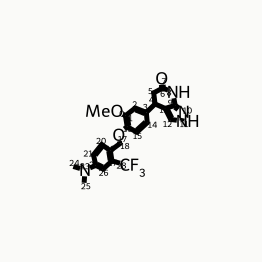 COc1cc(C2CC(=O)Nc3n[nH]cc32)ccc1OCc1ccc(N(C)C)cc1C(F)(F)F